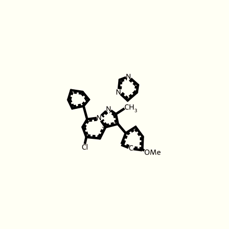 COc1ccc(-c2c(C)nn3c(-c4ccccc4)cc(Cl)cc23)cc1.c1cncnc1